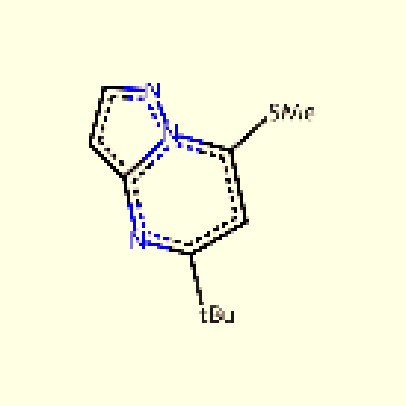 CSc1cc(C(C)(C)C)nc2ccnn12